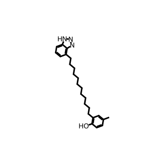 Cc1ccc(O)c(CCCCCCCCCCCCc2cccc3[nH]nnc23)c1